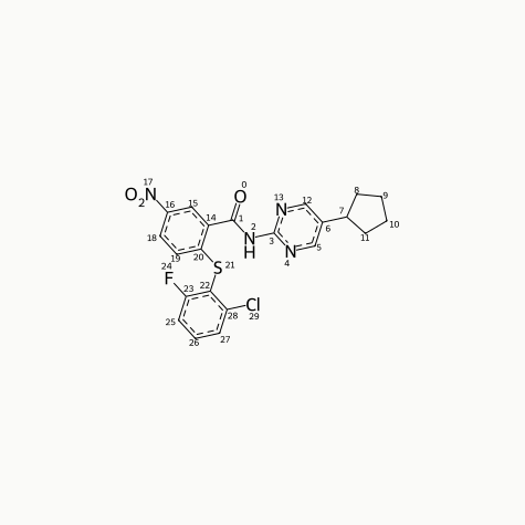 O=C(Nc1ncc(C2CCCC2)cn1)c1cc([N+](=O)[O-])ccc1Sc1c(F)cccc1Cl